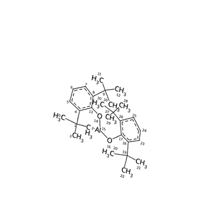 CC(C)(C)c1cccc(C(C)(C)C)c1[O][Al][O]c1c(C(C)(C)C)cccc1C(C)(C)C